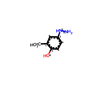 NNc1ccc(O)c(C(=O)O)c1